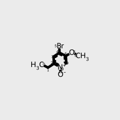 CCc1cc(Br)c(OC)c[n+]1[O-]